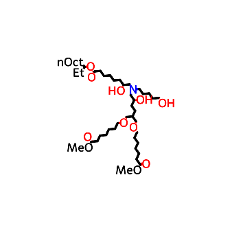 CCCCCCCCC(CC)OC(=O)CCCCC[C@H](O)CN(CCCCCO)C[C@@H](O)CCC(COCCCCCCC(=O)OC)COCCCCCCC(=O)OC